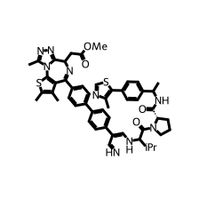 COC(=O)CC1N=C(c2ccc(-c3ccc(/C(C=N)=C/NC(C(=O)N4CCC[C@H]4C(=O)NC(C)c4ccc(-c5scnc5C)cc4)C(C)C)cc3)cc2)c2c(sc(C)c2C)-n2c(C)nnc21